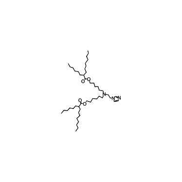 CCCCCCCCC(CCCCCC)C(=O)OCCCCCCN(CCCCCCOC(=O)C(CCCCCC)CCCCCCCC)CCn1ccnc1